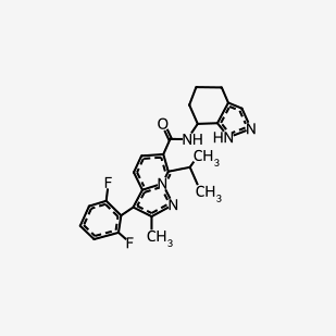 Cc1nn2c(C(C)C)c(C(=O)NC3CCCc4cn[nH]c43)ccc2c1-c1c(F)cccc1F